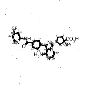 CC(C)[C@]1(C(=O)O)CC[C@@H](c2nc(-c3ccc(C(=O)Nc4cc(C(F)(F)F)ccn4)cc3)c3c(N)nccn23)C1